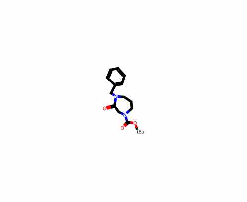 CC(C)(C)OC(=O)N1CCCN(Cc2ccccc2)C(=O)C1